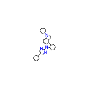 c1ccc(-c2cnc(-n3c4ccccc4c4c5ccn(-c6ccccc6)c5ccc43)nc2)cc1